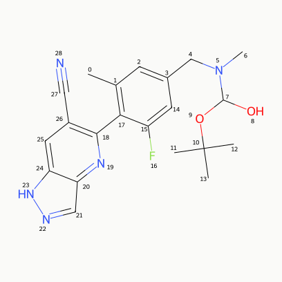 Cc1cc(CN(C)C(O)OC(C)(C)C)cc(F)c1-c1nc2cn[nH]c2cc1C#N